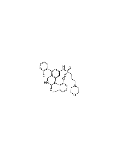 O=C1NCc2c(-c3ccccc3Cl)cc(NS(=O)(=O)CCCN3CCOCC3)cc2N1c1c(Cl)cccc1Cl